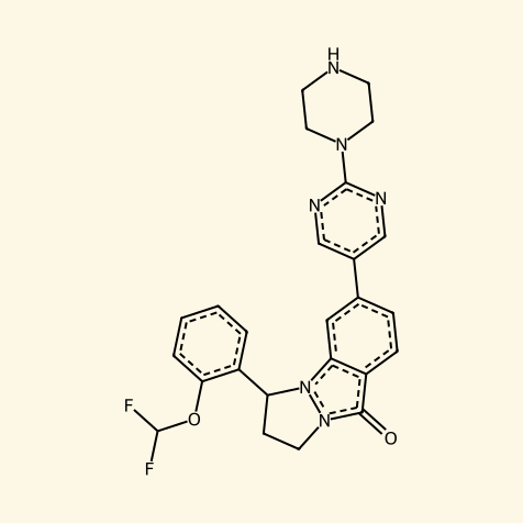 O=c1c2ccc(-c3cnc(N4CCNCC4)nc3)cc2n2n1CCC2c1ccccc1OC(F)F